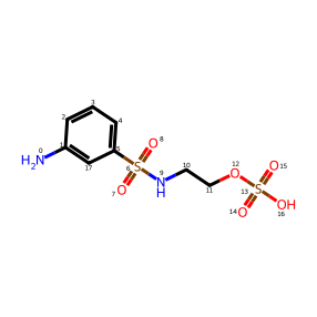 Nc1cccc(S(=O)(=O)NCCOS(=O)(=O)O)c1